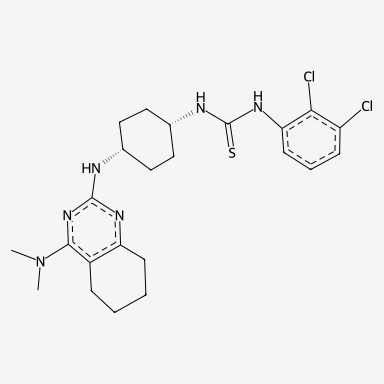 CN(C)c1nc(N[C@H]2CC[C@@H](NC(=S)Nc3cccc(Cl)c3Cl)CC2)nc2c1CCCC2